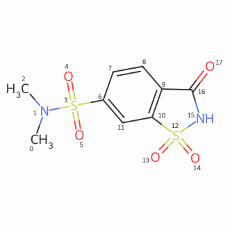 CN(C)S(=O)(=O)c1ccc2c(c1)S(=O)(=O)NC2=O